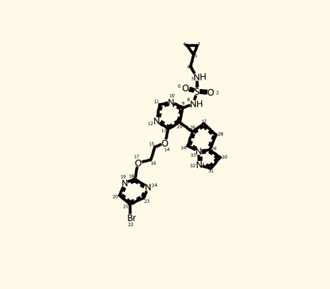 O=S(=O)(NCC1CC1)Nc1ncnc(OCCOc2ncc(Br)cn2)c1-c1ccc2ccnn2c1